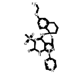 CS(=O)(=O)CC(=O)Nc1c2c(nn1-c1ccncn1)C[C@]1(CCCc3cc(OCC(F)(F)F)ccc31)NC2=O